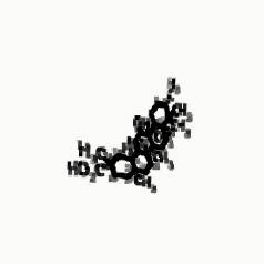 C[C@H]1CC[C@]2(C)[C@H]3C(=O)C=C4[C@@H]5C[C@@](C)(C(=O)O)CC[C@]5(C)CC[C@@]4(N)[C@]3(C)CC[C@H]2C1(C)C